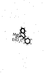 CCOC(=O)C(Cc1ccccc1OC)(CC(C)C)C1CCCCC1